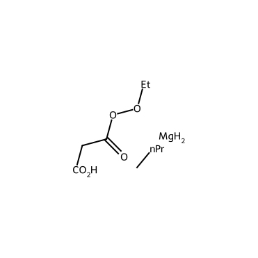 CCCC.CCOOC(=O)CC(=O)O.[MgH2]